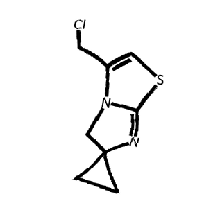 ClCC1=CSC2=NC3(CC3)CN12